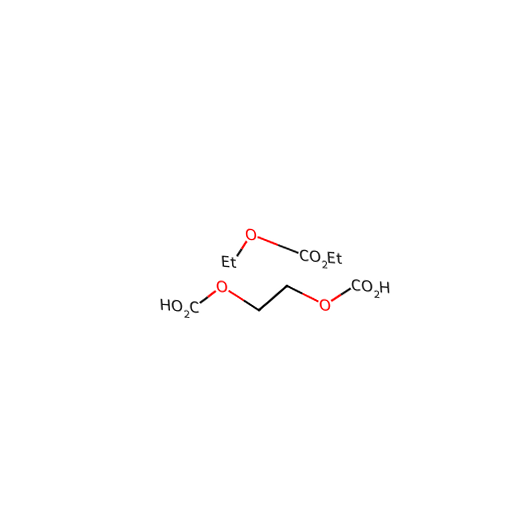 CCOC(=O)OCC.O=C(O)OCCOC(=O)O